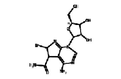 NC(=O)C1C2=C(N)N=CN(C3O[C@@H](CO)C(O)C3O)C2=NC1Br